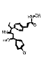 CCC(C(=N)CC(O)c1ccc(Cl)cc1)c1ccc(/C=C/C(=O)NO)cc1